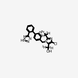 [2H]C([2H])(O)c1c(Cl)nc(C([2H])([2H])CCC)n1Cc1ccc(-c2ccccc2-c2nn[nH]n2)cc1